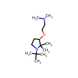 CN(C)CCO[C@@H]1CCN(C(C)(C)C)C1(C)C